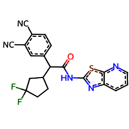 N#Cc1ccc(C(C(=O)Nc2nc3cccnc3s2)C2CCC(F)(F)C2)cc1C#N